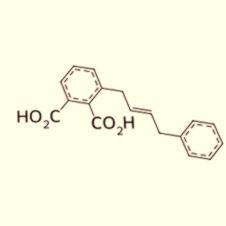 O=C(O)c1cccc(CC=CCc2ccccc2)c1C(=O)O